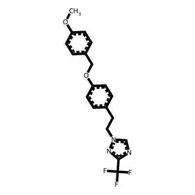 COc1ccc(COc2ccc(CCn3cnc(C(F)(F)F)n3)cc2)cc1